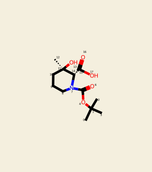 CC(C)(C)OC(=O)N1CCC[C@@](C)(O)[C@@H]1C(=O)O